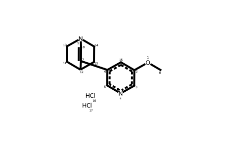 COc1cncc(C2=CN3CCC2CC3)c1.Cl.Cl